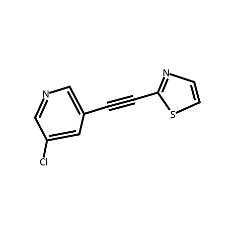 Clc1cncc(C#Cc2nccs2)c1